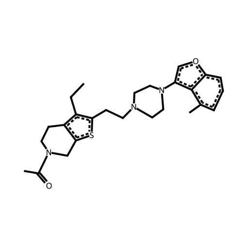 CCc1c(CCN2CCN(c3coc4cccc(C)c34)CC2)sc2c1CCN(C(C)=O)C2